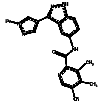 Cc1c(C#N)cnc(C(=O)Nc2ccc3[nH]nc(-c4cnn(C(C)C)c4)c3c2)c1C